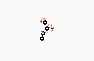 CC(=O)Nc1cc(Oc2cncc(-c3ccc(F)c(F)c3)c2)ccc1Oc1ccc(S(C)(=O)=O)cc1